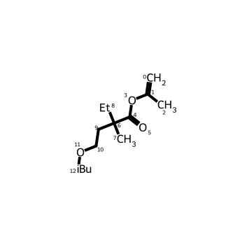 C=C(C)OC(=O)C(C)(CC)CCOC(C)CC